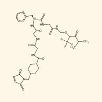 CC(C)C(=O)C(OCNC(=O)CNC(=O)[C@H](Cc1ccccc1)NC(=O)CNC(=O)CNC(=O)C1CCC(CN2C(=O)C=CC2=O)CC1)C(F)(F)F